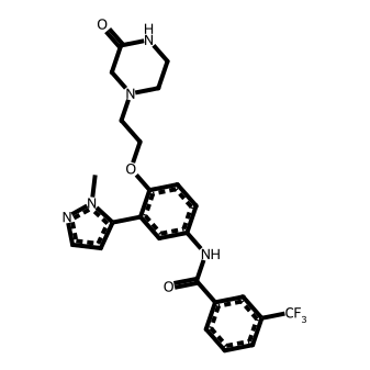 Cn1nccc1-c1cc(NC(=O)c2cccc(C(F)(F)F)c2)ccc1OCCN1CCNC(=O)C1